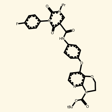 CC(C)n1cc(C(=O)Nc2ccc(Oc3ccnc4c3OCCN4C(=O)OC(C)(C)C)cc2)c(=O)n(-c2ccc(F)cc2)c1=O